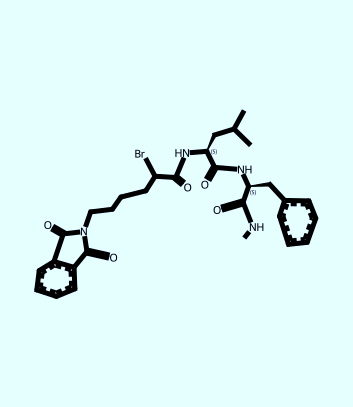 CNC(=O)[C@H](Cc1ccccc1)NC(=O)[C@H](CC(C)C)NC(=O)C(Br)CCCCN1C(=O)c2ccccc2C1=O